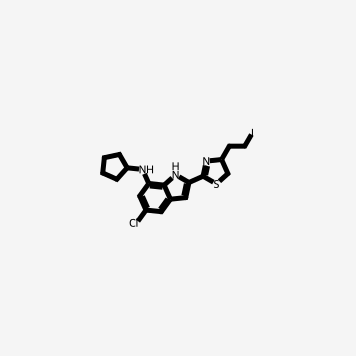 Clc1cc(NC2CCCC2)c2[nH]c(C3=NC(CCI)CS3)cc2c1